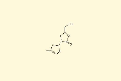 Cc1csc(N2CC(CO)OC2=O)c1